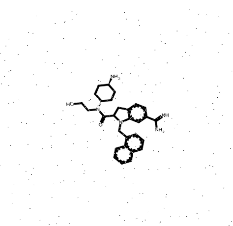 N=C(N)c1ccc2c(c1)N(Cc1cccc3ccccc13)C(C(=O)N(CCO)[C@H]1CC[C@H](N)CC1)C2